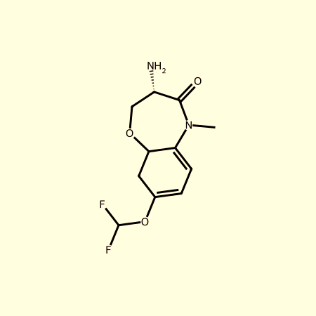 CN1C(=O)[C@@H](N)COC2CC(OC(F)F)=CC=C21